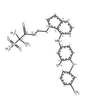 Cc1cccc(Oc2ccc(Nc3ncnc4ccn(CCNC(=O)C(C)(C)S(C)(=O)=O)c34)cc2Cl)c1